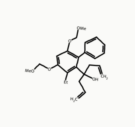 C=CCC(O)(CC=C)c1c(CC)c(OCOC)cc(OCOC)c1-c1ccccc1